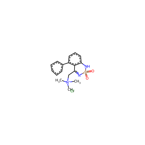 C[N+](C)(C)CC1=NS(=O)(=O)Nc2cccc(-c3ccccc3)c21.[Cl-]